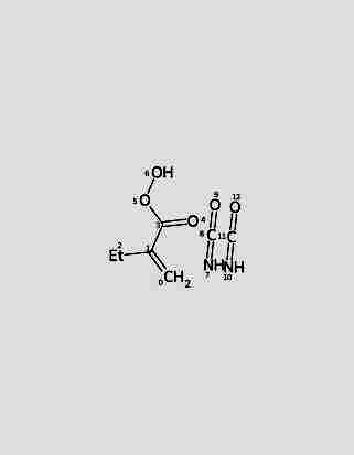 C=C(CC)C(=O)OO.N=C=O.N=C=O